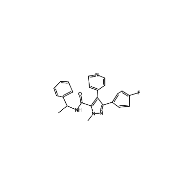 CC(NC(=O)c1c(-c2ccncc2)c(-c2ccc(F)cc2)nn1C)c1ccccc1